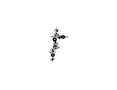 O=C(NC/C(=N/C(=O)c1ccc(Nc2nc(NC3(c4ccc(Cl)cc4)CC3)nc(OCC(F)(F)F)n2)cc1)C(=O)O)C(=O)Nc1ccc(OCC(F)(F)F)cc1